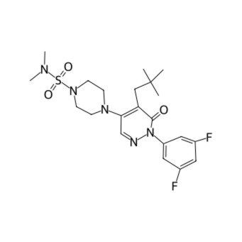 CN(C)S(=O)(=O)N1CCN(c2cnn(-c3cc(F)cc(F)c3)c(=O)c2CC(C)(C)C)CC1